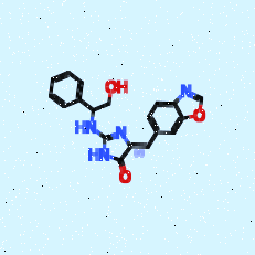 O=C1NC(NC(CO)c2ccccc2)=N/C1=C\c1ccc2ncoc2c1